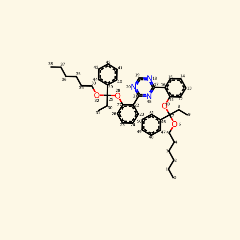 CCCCCCOC(CC)(Oc1ccccc1-c1ncnc(-c2ccccc2OC(CC)(OCCCCCC)c2ccccc2)n1)c1ccccc1